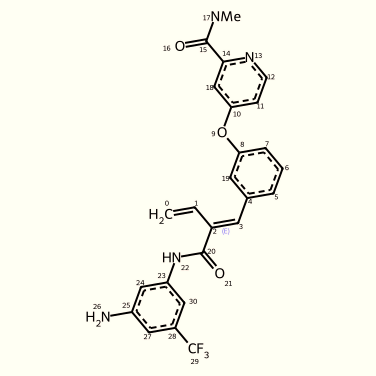 C=C/C(=C\c1cccc(Oc2ccnc(C(=O)NC)c2)c1)C(=O)Nc1cc(N)cc(C(F)(F)F)c1